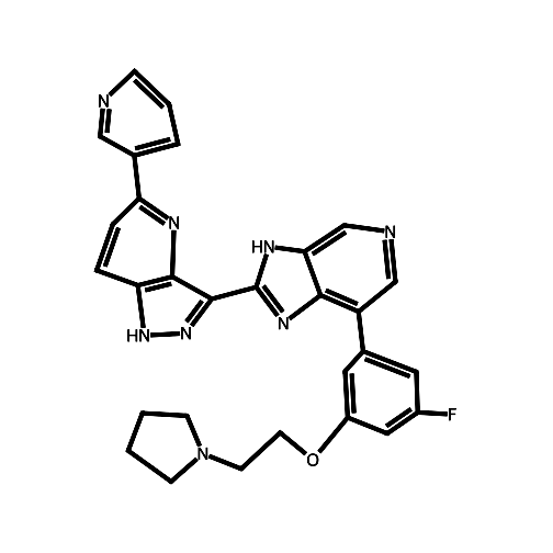 Fc1cc(OCCN2CCCC2)cc(-c2cncc3[nH]c(-c4n[nH]c5ccc(-c6cccnc6)nc45)nc23)c1